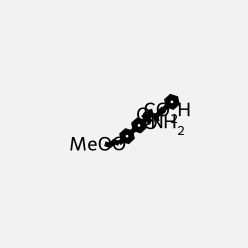 COCCOc1ccc(-c2ccc(S(=O)(=O)C(C(=O)O)C(N)C#Cc3ccccc3)cc2)cc1